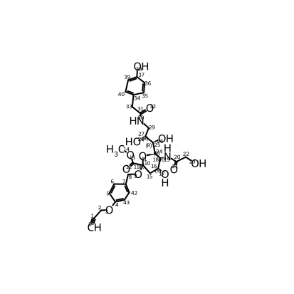 C#CCOc1ccc(CO[C@]2(C(=O)OC)C[C@H](O)[C@@H](NC(=O)CO)[C@H]([C@H](O)[C@H](O)CNC(=O)Cc3ccc(O)cc3)O2)cc1